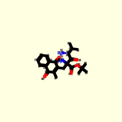 CC1=C(CC(N)(C(=O)OC(C)(C)C)C(=O)[C@H](N)C(C)C)C(=O)c2ccccc2C1=O